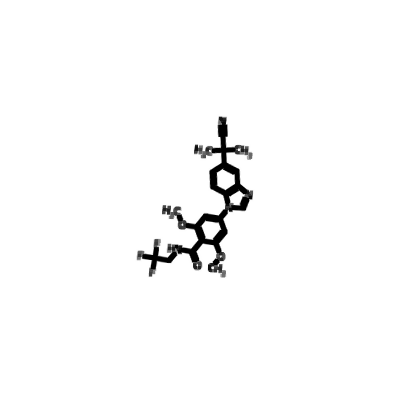 COc1cc(-n2cnc3cc(C(C)(C)C#N)ccc32)cc(OC)c1C(=O)NCC(F)(F)F